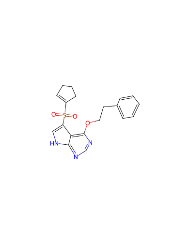 O=S(=O)(C1=CCCC1)c1c[nH]c2ncnc(OCCc3ccccc3)c12